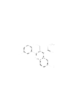 COC(=O)c1c(CBr)c(-c2cccc(C(F)(F)F)c2)nc2ccc(C(F)(F)F)cc12